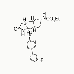 CCOC(=O)N[C@@H]1CC[C@@H]2[C@@H](C1)C[C@H]1CC(=O)N[C@H]1[C@H]2/C=C/c1ccc(-c2cccc(F)c2)cn1